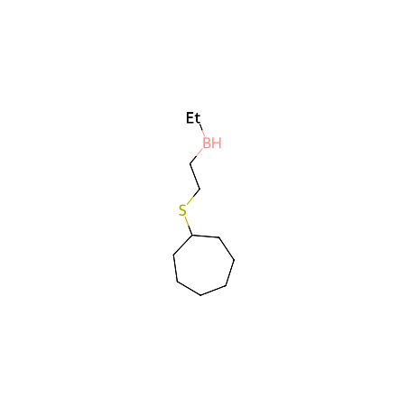 CCBCCSC1CCCCCC1